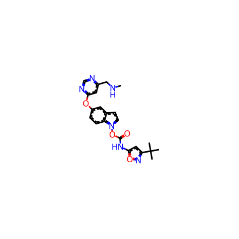 CNCc1cc(Oc2ccc3c(ccn3OC(=O)Nc3cc(C(C)(C)C)no3)c2)ncn1